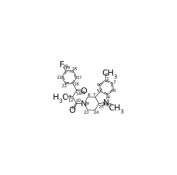 Cc1ccc2c(c1)C1CN(C(=O)C(C)C(=O)c3ccc(F)cc3)CCC1N2C